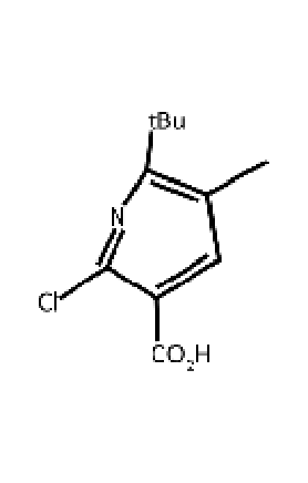 Cc1cc(C(=O)O)c(Cl)nc1C(C)(C)C